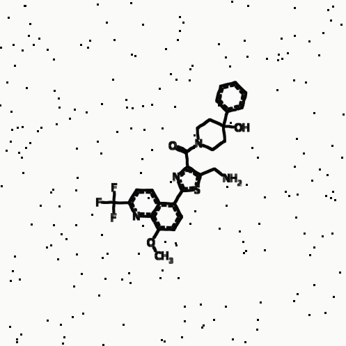 COc1ccc(-c2nc(C(=O)N3CCC(O)(c4ccccc4)CC3)c(CN)s2)c2ccc(C(F)(F)F)nc12